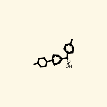 Cc1ccc(C(OO)c2ccc(C3CCC(C)CC3)cc2)cc1